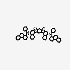 c1ccc(N(c2cccc3c2ccc2ccccc23)c2cc3oc4cc5oc6cc(N(c7ccccc7)c7cccc8c7ccc7ccccc78)c7ccccc7c6c5cc4c3c3ccccc23)cc1